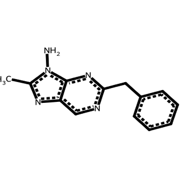 Cc1nc2cnc(Cc3ccccc3)nc2n1N